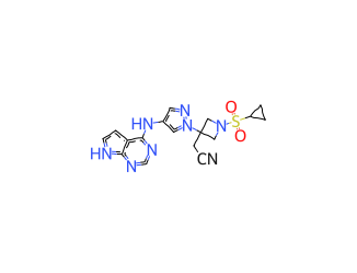 N#CCC1(n2cc(Nc3ncnc4[nH]ccc34)cn2)CN(S(=O)(=O)C2CC2)C1